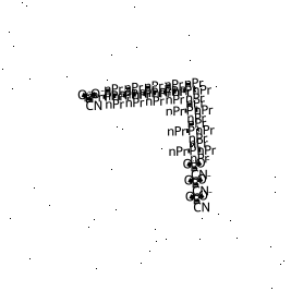 CCC[P+](CCC)(CCC)CCC.CCC[P+](CCC)(CCC)CCC.CCC[P+](CCC)(CCC)CCC.CCC[P+](CCC)(CCC)CCC.CCC[P+](CCC)(CCC)CCC.CCC[P+](CCC)(CCC)CCC.CCC[P+](CCC)(CCC)CCC.CCC[P+](CCC)(CCC)CCC.N#CB([O-])[O-].N#CB([O-])[O-].N#CB([O-])[O-].N#CB([O-])[O-]